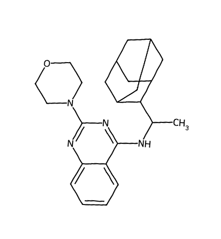 CC(Nc1nc(N2CCOCC2)nc2ccccc12)C1C2CC3CC(C2)CC1C3